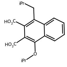 CC(C)Cc1c(C(=O)O)c(C(=O)O)c(OC(C)C)c2ccccc12